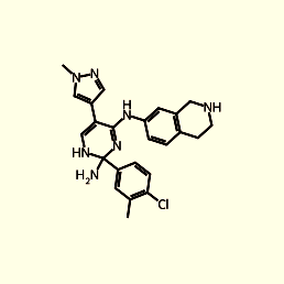 Cc1cc(C2(N)N=C(Nc3ccc4c(c3)CNCC4)C(c3cnn(C)c3)=CN2)ccc1Cl